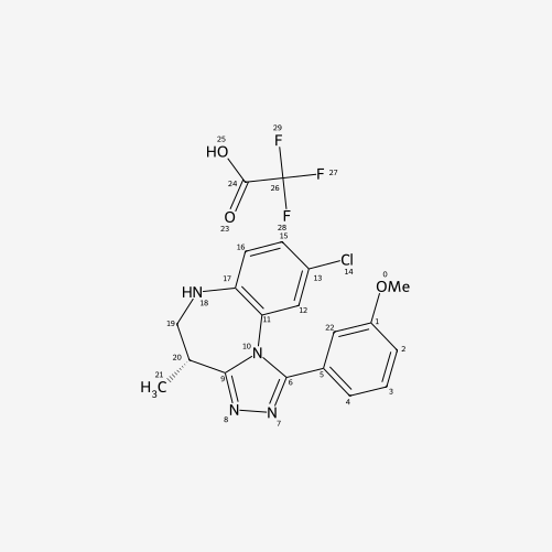 COc1cccc(-c2nnc3n2-c2cc(Cl)ccc2NC[C@H]3C)c1.O=C(O)C(F)(F)F